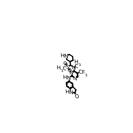 CN(c1nc(Nc2ccc3c(c2)CC(=O)N3)ncc1C(F)(F)F)C(C1CCCNC1)S(C)(=O)=O